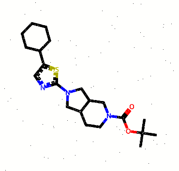 CC(C)(C)OC(=O)N1CCC2CN(c3ncc(C4CCCCC4)s3)CC2C1